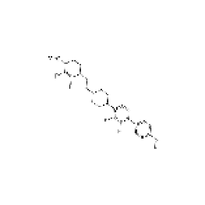 C=Cc1ccc(-c2ccc(C3CCC(CCC4CCC(OC)C(F)=C4F)CC3)c(F)c2F)cc1